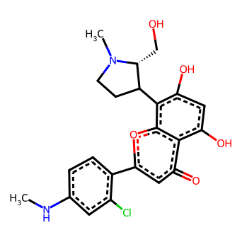 CNc1ccc(-c2cc(=O)c3c(O)cc(O)c(C4CCN(C)[C@@H]4CO)c3o2)c(Cl)c1